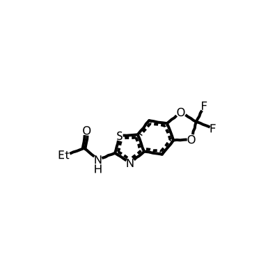 CCC(=O)Nc1nc2cc3c(cc2s1)OC(F)(F)O3